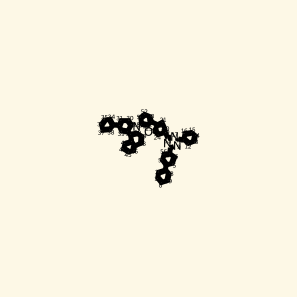 c1ccc(-c2ccc(-c3nc(-c4ccccc4)nc(-c4ccc5c(c4)oc4c(-n6c7ccc(-c8ccccc8)cc7c7c8ccccc8ccc76)cccc45)n3)cc2)cc1